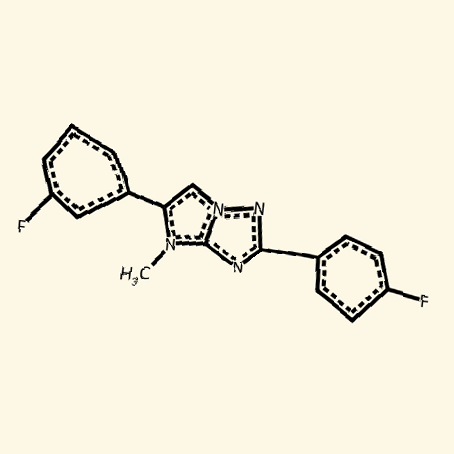 Cn1c(-c2cccc(F)c2)cn2nc(-c3ccc(F)cc3)nc12